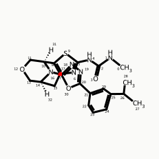 CNC(=O)Nc1nc2c(s1)[C@@H]1COC[C@H](C2)N1c1nnc(-c2cccc(C(C)C)c2)o1